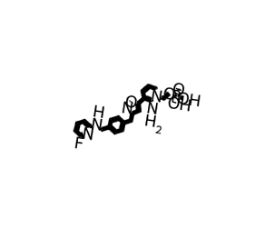 Nc1c(-c2cc(Cc3ccc(CNc4cccc(F)n4)cc3)no2)ccc[n+]1COP(=O)(O)O